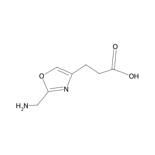 NCc1nc(CCC(=O)O)co1